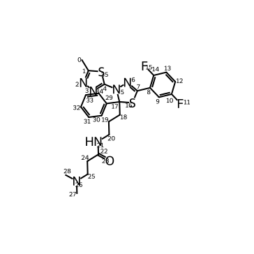 Cc1nnc(N2N=C(c3cc(F)ccc3F)SC2(CCCNC(=O)CCN(C)C)c2ccccc2)s1